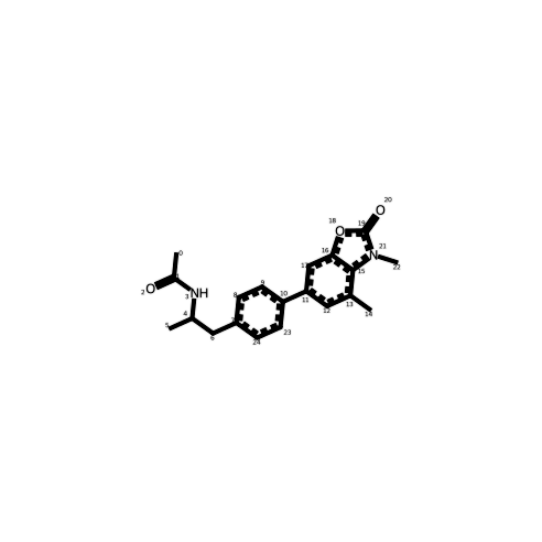 CC(=O)NC(C)Cc1ccc(-c2cc(C)c3c(c2)oc(=O)n3C)cc1